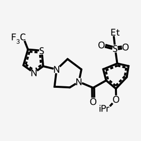 CCS(=O)(=O)c1ccc(OC(C)C)c(C(=O)N2CCN(c3ncc(C(F)(F)F)s3)CC2)c1